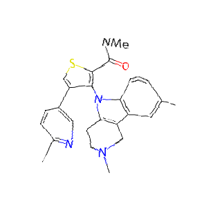 CNC(=O)c1scc(-c2ccc(C)nc2)c1-n1c2c(c3cc(C)ccc31)CN(C)CC2